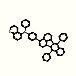 c1ccc(-c2c3c(c(-c4ccccc4)c4ccccc24)-c2ccc(-c4ccc(N(c5ccccc5)c5cccc6ncccc56)cc4)c4cccc-3c24)cc1